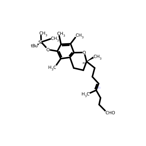 C/C(=C\CC[C@]1(C)CCc2c(C)c(O[Si](C)(C)C(C)(C)C)c(C)c(C)c2O1)CCC=O